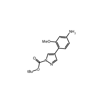 COc1cc(N)ccc1-c1cnn(C(=O)OC(C)(C)C)c1